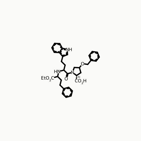 CCOC(=O)C(CCc1ccccc1)NC(CCc1c[nH]c2ccccc12)C(=O)N1CC(OCc2ccccc2)C[C@H]1C(=O)O